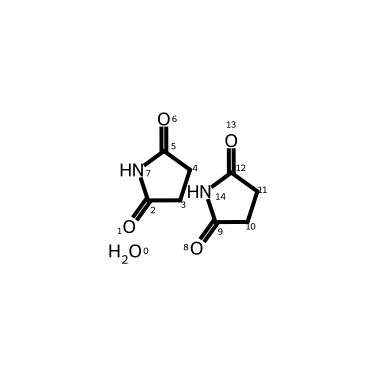 O.O=C1CCC(=O)N1.O=C1CCC(=O)N1